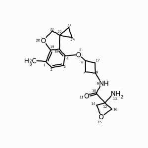 Cc1ccc(OC2CC(NC(=O)C3(N)COC3)C2)c2c1OCC21CC1